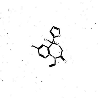 C=CN1C(=O)COC(c2ccco2)(C(F)(F)F)c2cc(Cl)ccc21